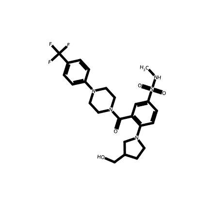 CNS(=O)(=O)c1ccc(N2CCC(CO)C2)c(C(=O)N2CCN(c3ccc(C(F)(F)F)cc3)CC2)c1